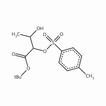 Cc1ccc(S(=O)(=O)OC(C(=O)OC(C)(C)C)C(C)O)cc1